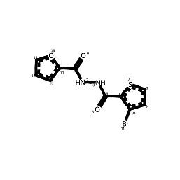 O=C(NNC(=O)c1sccc1Br)c1ccco1